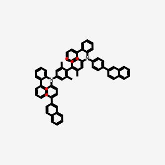 Cc1cc(N(c2ccc(-c3ccc4ccccc4c3)cc2)c2ccccc2-c2ccccc2)cc(C)c1-c1c(C)cc(N(c2ccc(-c3ccc4ccccc4c3)cc2)c2ccccc2-c2ccccc2)cc1C